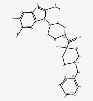 CSc1nc2cc(C)c(F)cc2n1C1CCN(C(=O)C2(F)CCN(Cc3ccncc3)CC2)CC1